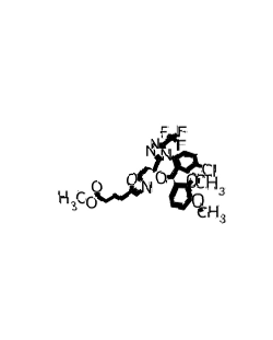 COC(=O)CCCc1cnc(C[C@@H]2O[C@@H](c3cccc(OC)c3OC)c3cc(Cl)ccc3-n3c2nnc3C(F)(F)F)o1